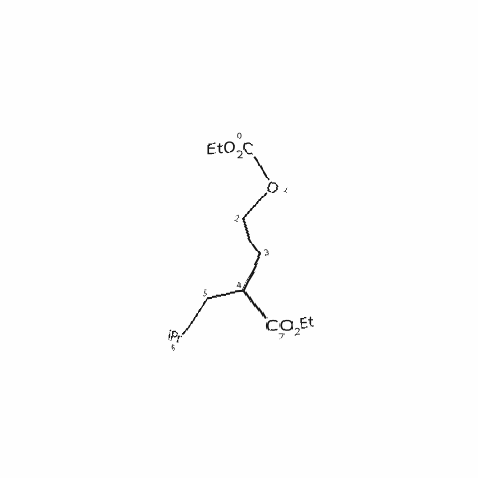 CCOC(=O)OCCC(CC(C)C)C(=O)OCC